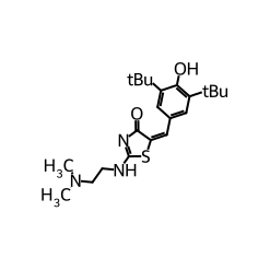 CN(C)CCNC1=NC(=O)/C(=C\c2cc(C(C)(C)C)c(O)c(C(C)(C)C)c2)S1